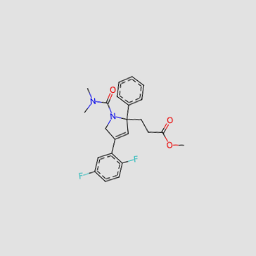 COC(=O)CCC1(c2ccccc2)C=C(c2cc(F)ccc2F)CN1C(=O)N(C)C